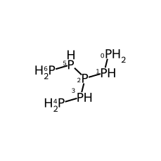 PPP(PP)PP